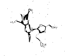 Cc1nc(N)nc2c1sc(=O)n2[C@H]1O[C@H](CO)S[C@@H]1CC(=O)O